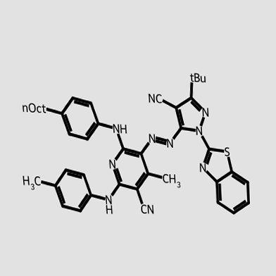 CCCCCCCCc1ccc(Nc2nc(Nc3ccc(C)cc3)c(C#N)c(C)c2N=Nc2c(C#N)c(C(C)(C)C)nn2-c2nc3ccccc3s2)cc1